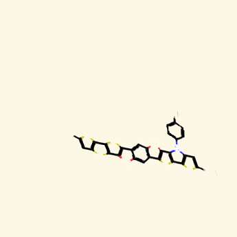 Cc1ccc(-n2c3cc(C)sc3c3sc4c5cc6oc7c(sc8c9sc(C)cc9sc78)c6cc5oc4c32)cc1